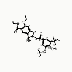 CCOc1cc2c(cc1C(=O)NC)C(=N)N(CC(=O)c1cc(OC(C)C)c(OC)c(C(C)(C)C)c1)C2